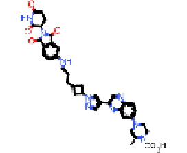 C[C@H]1CN(c2ccc3ncc(-c4cnn(C5CC(CCCNc6ccc7c(c6)C(=O)N(C6CCC(=O)NC6=O)C7=O)C5)c4)nc3c2)CCN1C(=O)O